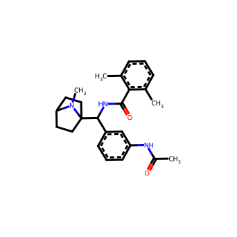 CC(=O)Nc1cccc(C(NC(=O)c2c(C)cccc2C)C23CCC(CC2)N3C)c1